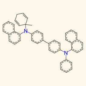 CC1(N(c2ccc(-c3ccc(N(c4ccccc4)c4cccc5ccccc45)cc3)cc2)c2cccc3ccccc23)C=CCC=C1